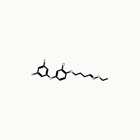 CCON=CCCCOc1ccc(Oc2cc(F)cc(F)c2)cc1Cl